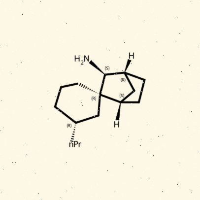 CCC[C@@H]1CCC[C@@]2(C1)[C@H]1CC[C@H](C1)[C@@H]2N